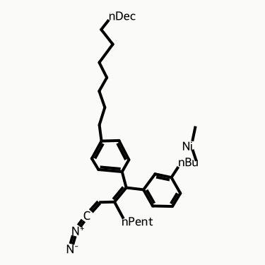 CCCCCCCCCCCCCCCCCc1ccc(C(=C(C=C=[N+]=[N-])CCCCC)c2cccc(CCCC)c2)cc1.[CH3][Ni][CH3]